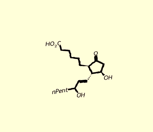 CCCCCC(O)/C=C/[C@H]1[C@H](O)CC(=O)[C@@H]1CCCCCC(=O)O